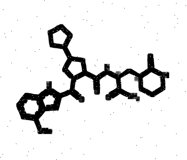 COc1cccc2[nH]c(C(=O)N3CC(C4CCCC4)CC3C(=O)N[C@@H](C[C@@H]3CCCNC3=O)C(N)=O)cc12